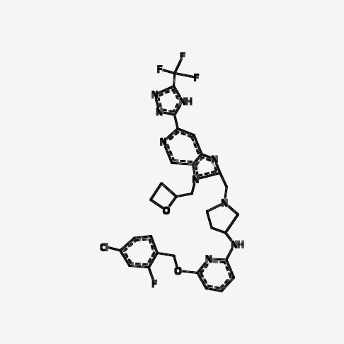 Fc1cc(Cl)ccc1COc1cccc(NC2CCN(Cc3nc4cc(-c5nnc(C(F)(F)F)[nH]5)ncc4n3CC3CCO3)C2)n1